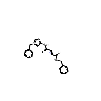 O=C(/C=C/C(=O)Nc1cn(Cc2ccccc2)cn1)NCc1ccccc1